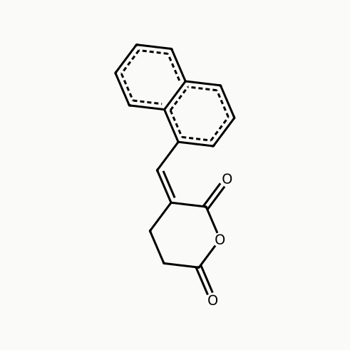 O=C1CCC(=Cc2cccc3ccccc23)C(=O)O1